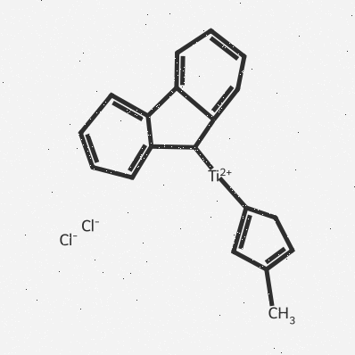 CC1=CC[C]([Ti+2][CH]2c3ccccc3-c3ccccc32)=C1.[Cl-].[Cl-]